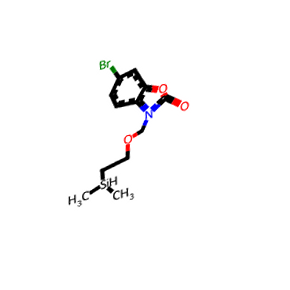 C[SiH](C)CCOCn1c(=O)oc2cc(Br)ccc21